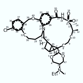 CCN(C)[C@H]1CO[C@@H](C23CCC[C@H](C)[C@@H](C)S(=O)(=O)NC(=O)c4ccc5c(c4)N(CCCCc4cc(Cl)ccc4CO5)C[C@@H]4CC2[C@H]43)OC1